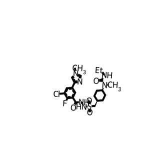 CCNC(=O)N(C)[C@H]1CC[C@@H](CS(=O)(=O)NNC(=O)c2cc(-c3cn(C)cn3)cc(Cl)c2F)CC1